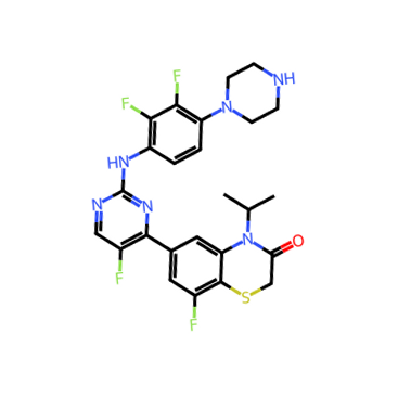 CC(C)N1C(=O)CSc2c(F)cc(-c3nc(Nc4ccc(N5CCNCC5)c(F)c4F)ncc3F)cc21